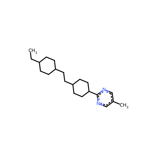 CCC1CCC(CCC2CCC(c3ncc(C)cn3)CC2)CC1